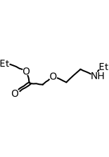 CCNCCOCC(=O)OCC